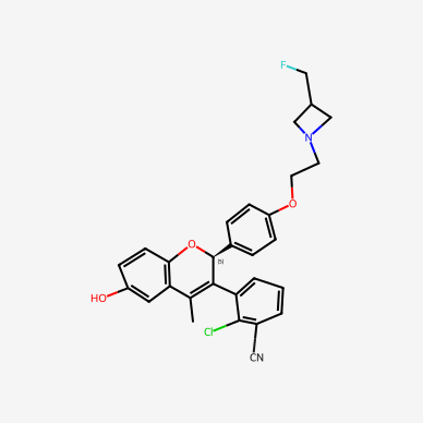 CC1=C(c2cccc(C#N)c2Cl)[C@H](c2ccc(OCCN3CC(CF)C3)cc2)Oc2ccc(O)cc21